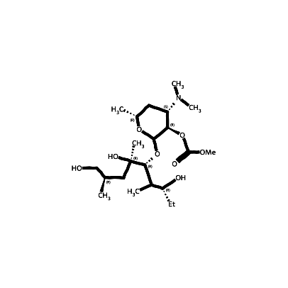 CC[C@@H](O)C(C)[C@@H](OC1O[C@H](C)C[C@H](N(C)C)[C@H]1OC(=O)OC)[C@](C)(O)C[C@@H](C)CO